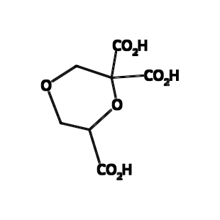 O=C(O)C1COCC(C(=O)O)(C(=O)O)O1